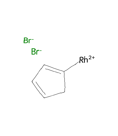 [Br-].[Br-].[Rh+2][C]1=CC=CC1